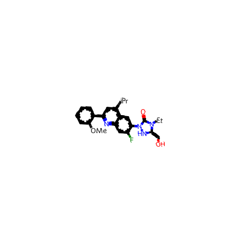 CCN1C(=O)N(c2cc3c(C(C)C)cc(-c4ccccc4OC)nc3cc2F)NC1=CO